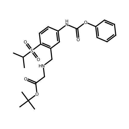 CC(C)S(=O)(=O)c1ccc(NC(=O)Oc2ccccc2)cc1CNCC(=O)OC(C)(C)C